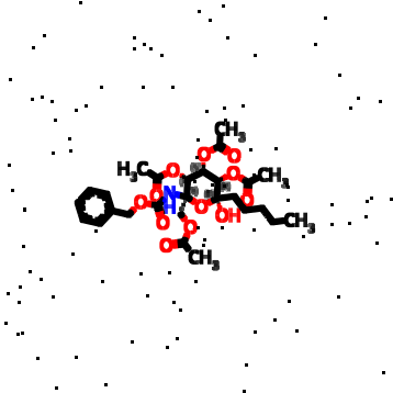 CCCCC[C@@]1(O)O[C@@](COC(C)=O)(NC(=O)OCc2ccccc2)[C@H](OC(C)=O)[C@H](OC(C)=O)[C@H]1OC(C)=O